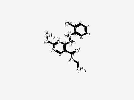 CCOC(=O)c1cnc(SC)nc1NNc1ccccc1Cl